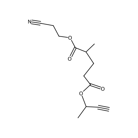 C#CC(C)OC(=O)CCC(C)C(=O)OCCC#N